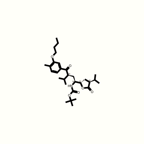 CCCCOc1cc(C(=O)[C@@H](C[C@H](NC(=O)OC(C)(C)C)[C@@H]2C[C@@H](C(C)C)C(=O)O2)C(C)C)ccc1C